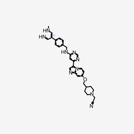 CN/C=C(\C=N)c1ccc(CNc2cc(-c3cnc4cc(OCC5CCN(CC#N)CC5)ccn34)ncn2)cc1